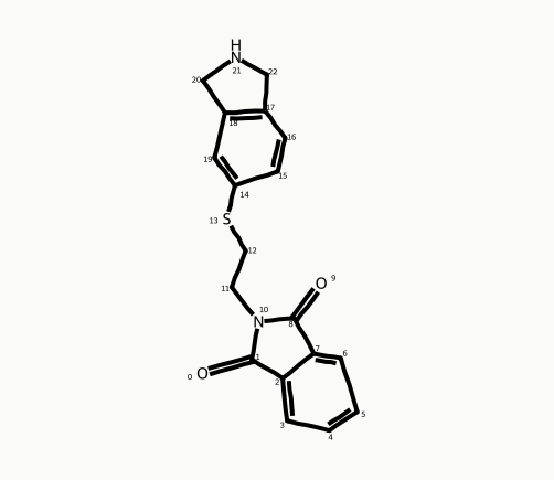 O=C1c2ccccc2C(=O)N1CCSc1ccc2c(c1)CNC2